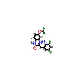 CN(C(=O)[C@@H](N)Cc1cc(F)cc(F)c1)c1ccc(OC(F)F)cc1